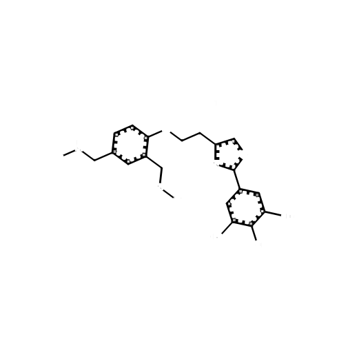 CC(C)NCc1ccc(OCCc2coc(-c3cc(C(C)(C)C)c(O)c(C(C)(C)C)c3)n2)c(CNC(C)C)c1.Cl.Cl